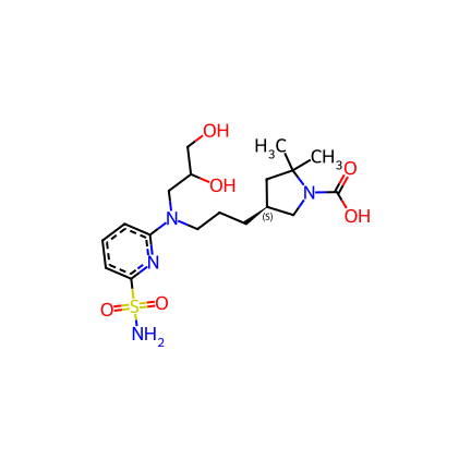 CC1(C)C[C@H](CCCN(CC(O)CO)c2cccc(S(N)(=O)=O)n2)CN1C(=O)O